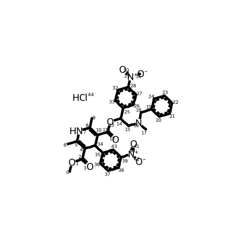 COC(=O)C1=C(C)NC(C)=C(C(=O)OC(CN(C)Cc2ccccc2)c2ccc([N+](=O)[O-])cc2)C1c1cccc([N+](=O)[O-])c1.Cl